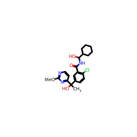 COc1nccc(C(C)(O)c2ccc(Cl)c(C(=O)NC(O)C3CCCCC3)c2)n1